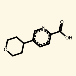 O=C(O)c1ccc(C2CCOCC2)cn1